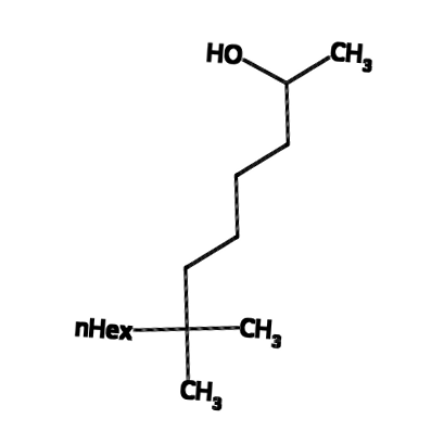 CCCCCCC(C)(C)CCCCC(C)O